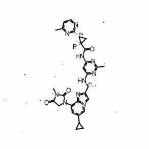 Cc1ccnc([C@@H]2C[C@@]2(F)C(=O)Nc2cc(N[C@H](C)c3cn4cc(C5CC5)cc(N5CC(=O)N(C)C5=O)c4n3)nc(C)n2)n1